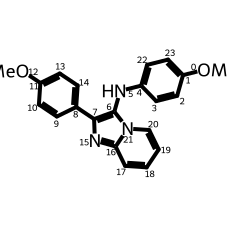 COc1ccc(Nc2c(-c3ccc(OC)cc3)nc3ccccn23)cc1